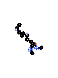 c1ccc(-c2ccnc(-c3ccc4c(c3)-c3ccc(-c5cc(-c6cccc(-c7ccc8c(c7)-c7cc(-c9ncnc(-c%10ccccc%10)n9)cc9c(-c%10ncnc(-c%11ccccc%11)n%10)ccc-8c79)c6)ccn5)c5cccc-4c35)c2)cc1